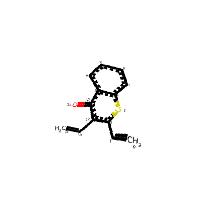 C=Cc1sc2ccccc2c(=O)c1C=C